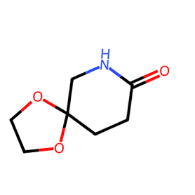 O=C1CCC2(CN1)OCCO2